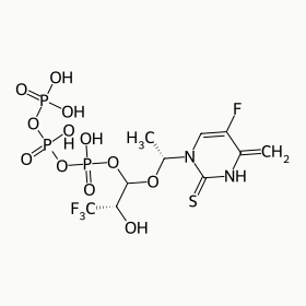 C=C1NC(=S)N([C@@H](C)OC(OP(=O)(O)OP(=O)(O)OP(=O)(O)O)[C@H](O)C(F)(F)F)C=C1F